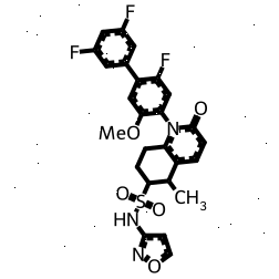 COc1cc(-c2cc(F)cc(F)c2)c(F)cc1-n1c2c(ccc1=O)C(C)C(S(=O)(=O)Nc1ccon1)CC2